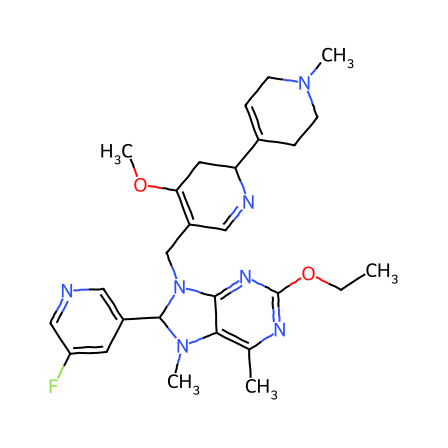 CCOc1nc(C)c2c(n1)N(CC1=C(OC)CC(C3=CCN(C)CC3)N=C1)C(c1cncc(F)c1)N2C